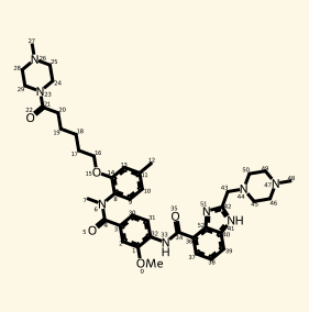 COc1cc(C(=O)N(C)c2ccc(C)cc2OCCCCCC(=O)N2CCN(C)CC2)ccc1NC(=O)c1cccc2[nH]c(CN3CCN(C)CC3)nc12